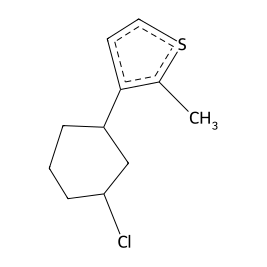 Cc1sccc1C1CCCC(Cl)C1